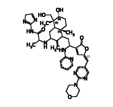 C=C1C(NC(C)C(=O)NC2=NCC=N2)CC2[C@](C)(CC[C@@H](O)[C@@]2(C)CO)C1CC(Nc1ccccn1)C1=C/C(=C\c2cnc(N3CCOCC3)nc2)OC1=O